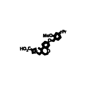 CCCc1ccc(COc2ccc3c(c2)OCCC(CN2CC(C(=O)O)C2)=C3C)c(OC)c1